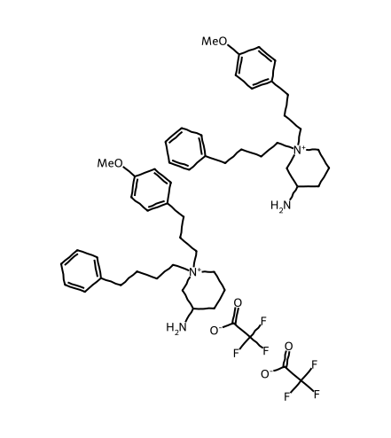 COc1ccc(CCC[N+]2(CCCCc3ccccc3)CCCC(N)C2)cc1.COc1ccc(CCC[N+]2(CCCCc3ccccc3)CCCC(N)C2)cc1.O=C([O-])C(F)(F)F.O=C([O-])C(F)(F)F